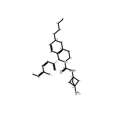 C=C(/C=C\C(F)=C/C)[C@@H]1C2=C(CCN1C(=O)NC13CC(N)(C1)C3)CC(CCCC)C=C2